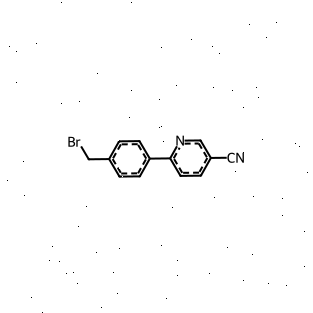 N#Cc1ccc(-c2ccc(CBr)cc2)nc1